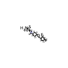 C/C(=N\NC(N)=S)c1ccc(OCc2ccc(F)cc2F)cc1